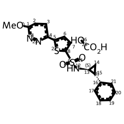 COc1ccc(-c2ccc(S(=O)(=O)N[C@H]3C[C@@H]3c3ccccc3)s2)nn1.O=C(O)O